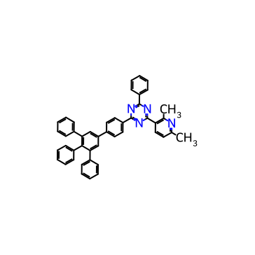 Cc1ccc(-c2nc(-c3ccccc3)nc(-c3ccc(-c4cc(-c5ccccc5)c(-c5ccccc5)c(-c5ccccc5)c4)cc3)n2)c(C)n1